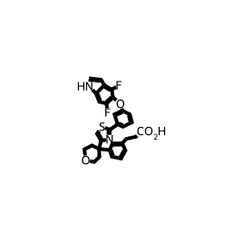 O=C(O)CCc1cccc(C2(c3csc(-c4cccc(Oc5c(F)cc6[nH]ccc6c5F)c4)n3)CCOCC2)c1